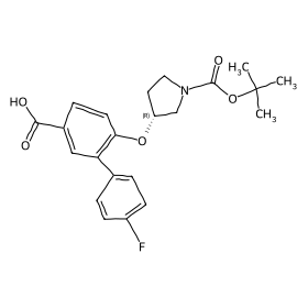 CC(C)(C)OC(=O)N1CC[C@@H](Oc2ccc(C(=O)O)cc2-c2ccc(F)cc2)C1